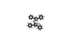 C1=C(c2ccccc2)C(=Nc2[nH]c(-c3ccccc3)cc2-c2ccccc2)N=C1c1ccccc1